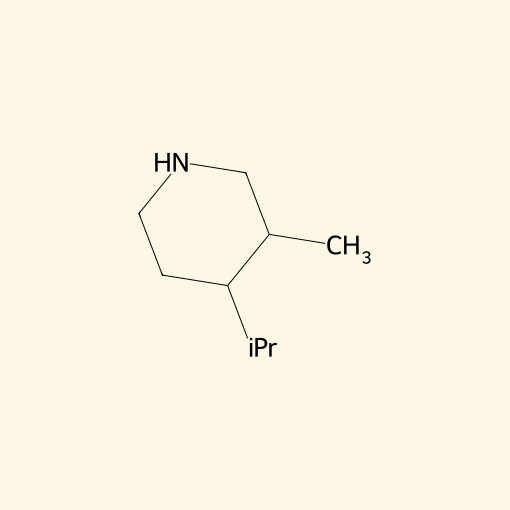 CC(C)C1CCNCC1C